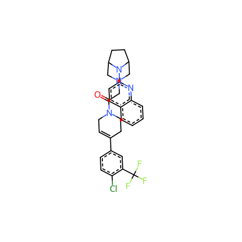 O=C(CN1CC2CCC(C1)N2c1ccc2ccccc2n1)N1CC=C(c2ccc(Cl)c(C(F)(F)F)c2)CC1